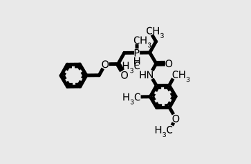 CCC(C(=O)Nc1c(C)cc(OC)cc1C)[PH](C)(C)CC(=O)OCc1ccccc1